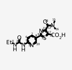 CCNC(=O)Nc1ccc(-c2nc(C(=O)N(C)C)c(C(=O)O)s2)cn1